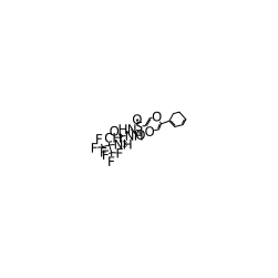 CC(NC(=O)NNS(=O)(=O)C1=COC(C2=CC=CCC2)=CO1)(C(F)(F)F)C(F)(F)F